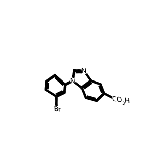 O=C(O)c1ccc2c(c1)ncn2-c1cccc(Br)c1